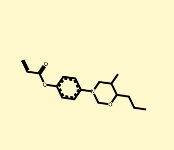 C=CC(=O)Oc1ccc(N2COC(CCC)C(C)C2)cc1